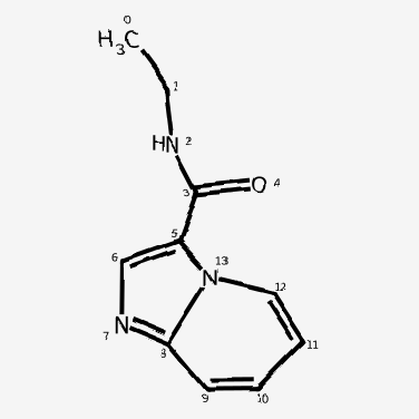 CCNC(=O)c1cnc2ccccn12